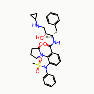 CS(=O)(=O)N(c1ccccc1)c1cccc(C(=O)N[C@@H](Cc2ccccc2)[C@H](O)CNC2CC2)c1N1CCCC1=O